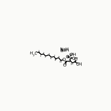 CCCCCCCCCCCOC(=O)C(CC(=O)O)S(=O)(=O)O.[NaH].[NaH]